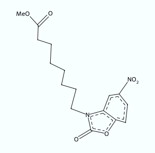 COC(=O)CCCCCCCn1c(=O)oc2ccc([N+](=O)[O-])cc21